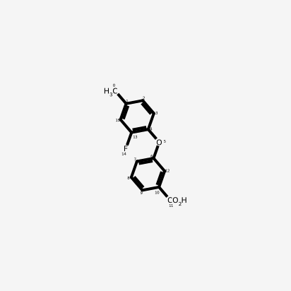 Cc1ccc(Oc2cccc(C(=O)O)c2)c(F)c1